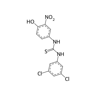 O=[N+]([O-])c1cc(NC(=S)Nc2cc(Cl)cc(Cl)c2)ccc1O